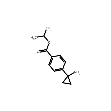 CC(C)OC(=O)c1ccc(C2(N)CC2)cc1